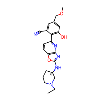 CCN1CCC[C@@H](Nc2nc3nc(-c4c(O)cc(COC)cc4C#N)ccc3o2)C1